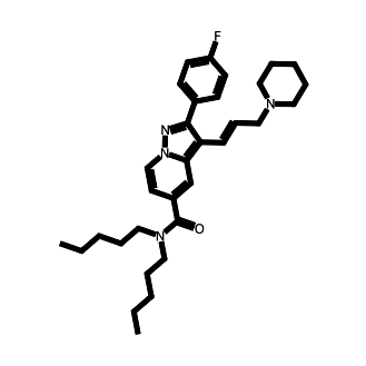 CCCCCN(CCCCC)C(=O)c1ccn2nc(-c3ccc(F)cc3)c(/C=C/CN3CCCCC3)c2c1